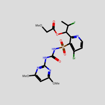 COCC(=O)OC(c1nccc(Br)c1S(=O)(=O)NC(=O)Nc1nc(OC)cc(OC)n1)C(C)F